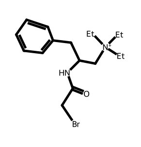 CC[N+](CC)(CC)CC(Cc1ccccc1)NC(=O)CBr